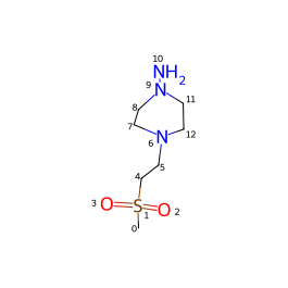 CS(=O)(=O)CCN1CCN(N)CC1